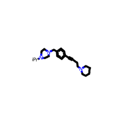 CC(C)N1CCN(Cc2ccc(C#CCCN3CCCCC3)cc2)CC1